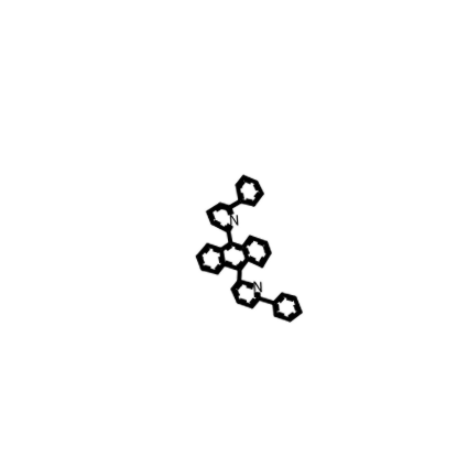 c1ccc(-c2cccc(-c3c4ccccc4c(-c4cccc(-c5ccccc5)n4)c4ccccc34)n2)cc1